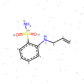 C=CCNc1ccc[c]c1S(N)(=O)=O